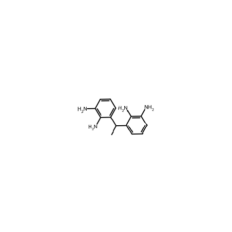 CC(c1cccc(N)c1N)c1cccc(N)c1N